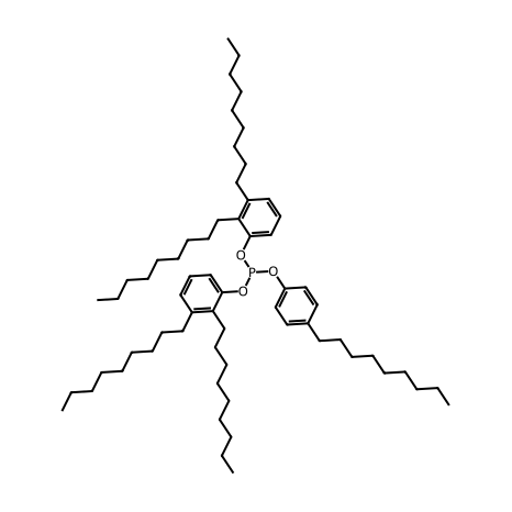 CCCCCCCCCc1ccc(OP(Oc2cccc(CCCCCCCCC)c2CCCCCCCCC)Oc2cccc(CCCCCCCCC)c2CCCCCCCCC)cc1